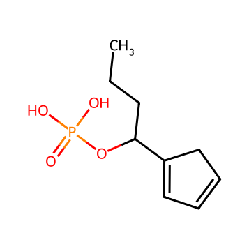 CCCC(OP(=O)(O)O)C1=CC=CC1